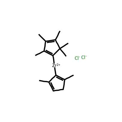 CC1=CCC(C)=[C]1[Zr+2][C]1=C(C)C(C)=C(C)C1(C)C.[Cl-].[Cl-]